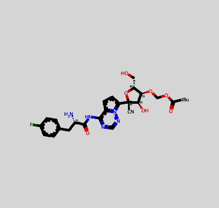 CC(C)(C)C(=O)OCO[C@H]1[C@@H](O)[C@](C#N)(c2ccc3c(NC(=O)[C@@H](N)Cc4ccc(F)cc4)ncnn23)O[C@@H]1CO